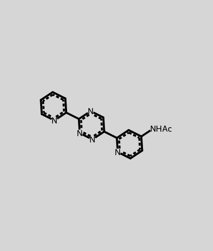 CC(=O)Nc1ccnc(-c2cnc(-c3ccccn3)nn2)c1